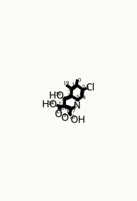 Cc1c(Cl)cc2nc(C(=O)O)c(C(=O)O)c(O)c2c1C